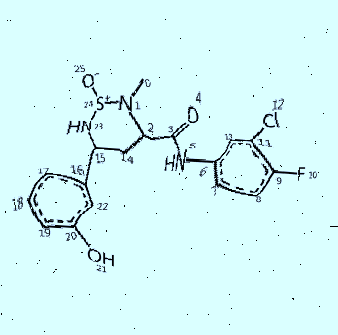 CN1C(C(=O)Nc2ccc(F)c(Cl)c2)CC(c2cccc(O)c2)N[S+]1[O-]